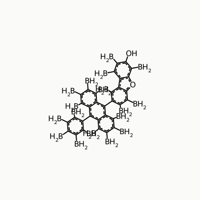 Bc1c(B)c(B)c(-c2c3c(B)c(B)c(B)c(B)c3c(-c3c(B)c(B)c4oc5c(B)c(O)c(B)c(B)c5c4c3B)c3c(B)c(B)c(B)c(B)c23)c(B)c1B